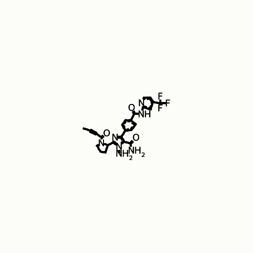 CC#CC(=O)N1CCCC1c1nc(-c2ccc(C(=O)Nc3cc(C(F)(F)F)ccn3)cc2)c(C(N)=O)n1N